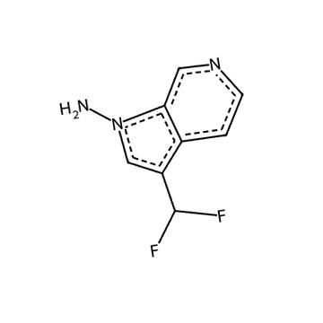 Nn1cc(C(F)F)c2ccncc21